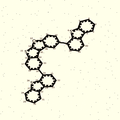 c1ccc2c(c1)sc1c(-c3ccc4oc5sc6ccc(-c7cccc8c7sc7ccccc78)cc6c5c4c3)cccc12